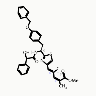 COC(=O)/C(C)=C\C(C)=C\c1csc([C@H](Cc2ccc(OCc3ccccc3)cc2)NC(=O)C(O)c2ccccc2)n1